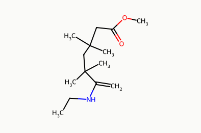 C=C(NCC)C(C)(C)CC(C)(C)CC(=O)OC